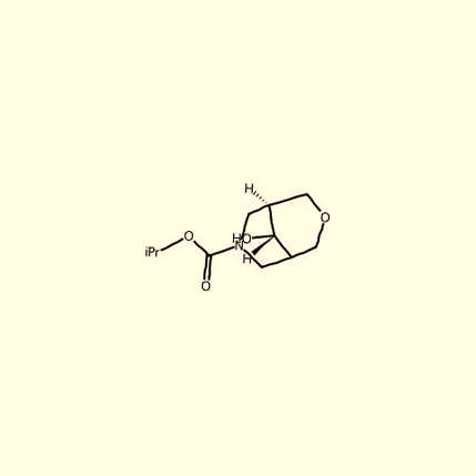 CC(C)OC(=O)N1CC2COC[C@H](C1)[C@H]2O